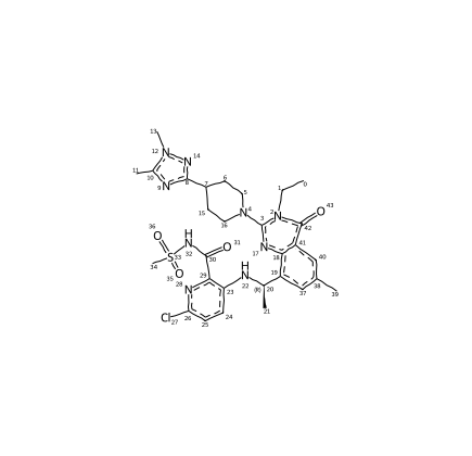 CCn1c(N2CCC(c3nc(C)n(C)n3)CC2)nc2c([C@@H](C)Nc3ccc(Cl)nc3C(=O)NS(C)(=O)=O)cc(C)cc2c1=O